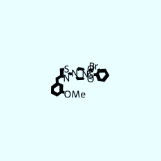 COc1cccc(Cc2csc(N3CCN(S(=O)(=O)c4ccccc4Br)CC3)n2)c1